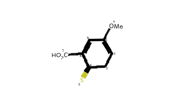 COC1=CCC(=S)C(C(=O)O)=C1